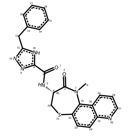 CN1C(=O)[C@@H](NC(=O)c2nnc(Cc3ccccc3)[nH]2)CSc2ccc3ncccc3c21